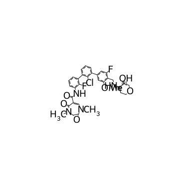 COc1cc(-c2cccc(-c3cccc(NC(=O)C4=CN(C)C5OC5N(C)C4=O)c3F)c2Cl)cc(F)c1CN[C@@H]1CCOC[C@@H]1O